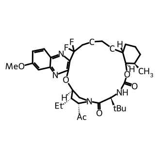 CC[C@@H]1[C@@H]2CN(C(=O)[C@H](C(C)(C)C)NC(=O)O[C@H]3[C@H](CCCCC(F)(F)c4nc5ccc(OC)cc5nc4O2)CCC[C@H]3C)[C@@H]1C(C)=O